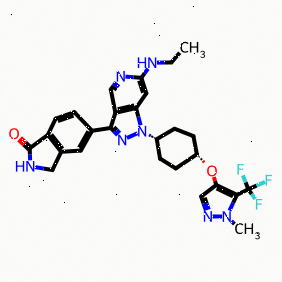 CCNc1cc2c(cn1)c(-c1ccc3c(c1)CNC3=O)nn2[C@H]1CC[C@@H](Oc2cnn(C)c2C(F)(F)F)CC1